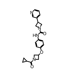 O=C(Nc1ccc(OC2CN(C(=O)C3CC3)C2)cc1)N1CC(c2cccnc2)C1